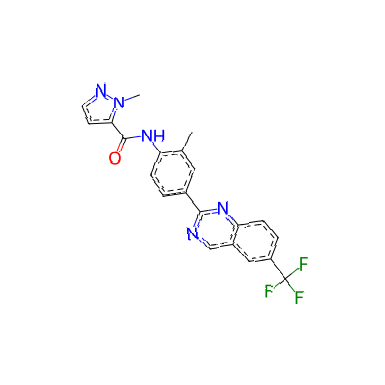 Cc1cc(-c2ncc3cc(C(F)(F)F)ccc3n2)ccc1NC(=O)c1ccnn1C